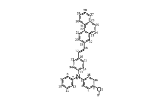 COc1ccc(N(c2ccccc2)c2ccc(C=Cc3ccc4c(ccc5ccccc54)c3)cc2)cc1